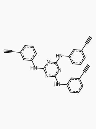 C#Cc1cccc(Nc2nc(Nc3cccc(C#C)c3)nc(Nc3cccc(C#C)c3)n2)c1